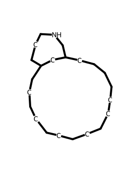 C1CCCCCCCC2CCCNCC(CCCCCCC1)C2